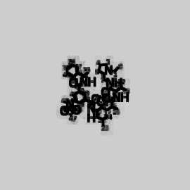 CCN1CCCC1CNC(=O)C(NC(=O)C(C)CC(O)C(CC(C)C)NC(=O)c1cc(C(=O)NC(C)c2ccccc2)cc(N(C)S(C)(=O)=O)c1)C(C)C